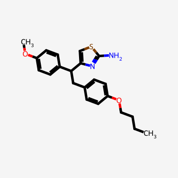 CCCCOc1ccc(CC(c2ccc(OC)cc2)c2csc(N)n2)cc1